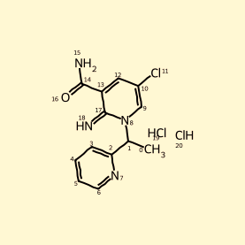 CC(c1ccccn1)n1cc(Cl)cc(C(N)=O)c1=N.Cl.Cl